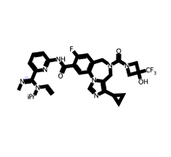 C=CN(/C(=N\C)c1cccc(NC(=O)c2cc3c(cc2F)CN(C(=O)N2CC(O)(C(F)(F)F)C2)Cc2c(C4CC4)ncn2-3)n1)C(C)C